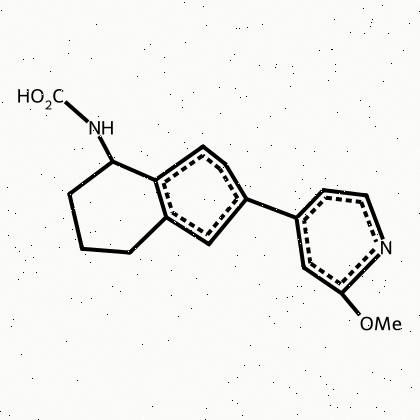 COc1cc(-c2ccc3c(c2)CCCC3NC(=O)O)ccn1